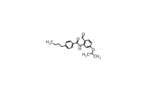 CCCCc1ccc(C(=O)Nc2cc(OC(C)C)ccc2C=O)cc1